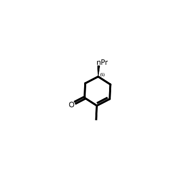 C[CH]C[C@H]1CC=C(C)C(=O)C1